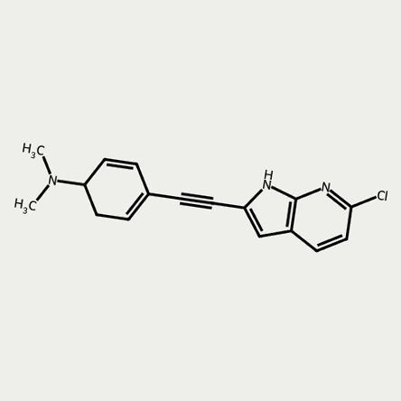 CN(C)C1C=CC(C#Cc2cc3ccc(Cl)nc3[nH]2)=CC1